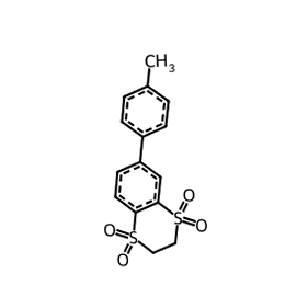 Cc1ccc(-c2ccc3c(c2)S(=O)(=O)CCS3(=O)=O)cc1